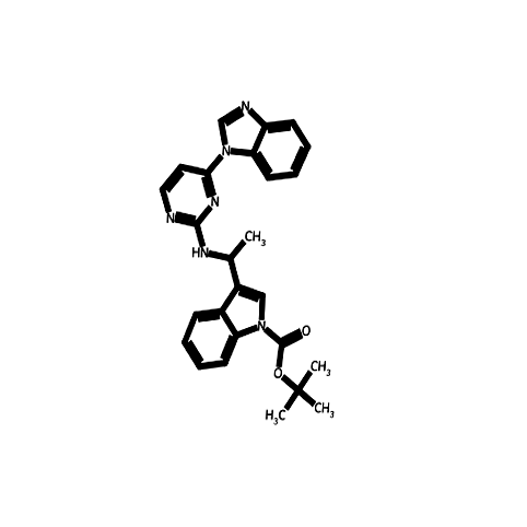 CC(Nc1nccc(-n2cnc3ccccc32)n1)c1cn(C(=O)OC(C)(C)C)c2ccccc12